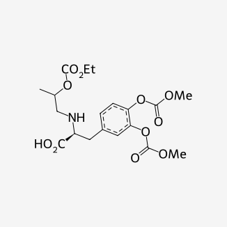 CCOC(=O)OC(C)CN[C@@H](Cc1ccc(OC(=O)OC)c(OC(=O)OC)c1)C(=O)O